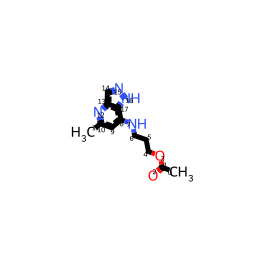 CC(=O)OCCCNc1cc(C)nc2cn[nH]c12